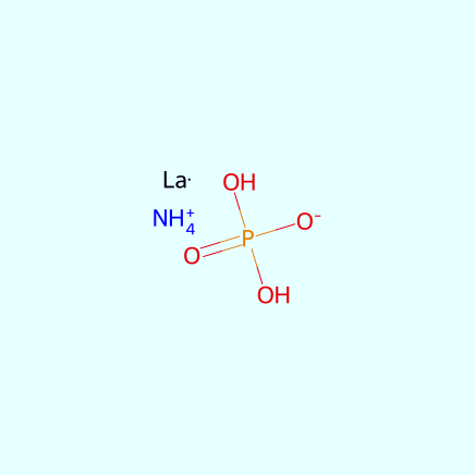 O=P([O-])(O)O.[La].[NH4+]